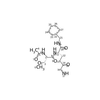 COC[C@H](NC(C)=O)C(=O)N[C@@H](CCC(=O)C=N)C(=O)NCc1ccccc1